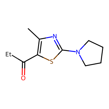 CCC(=O)c1sc(N2CCCC2)nc1C